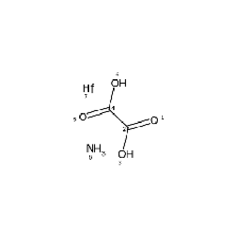 N.O=C(O)C(=O)O.[Hf]